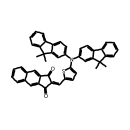 CC1(C)c2ccccc2-c2ccc(N(c3ccc4c(c3)C(C)(C)c3ccccc3-4)c3ccc(C=C4C(=O)c5cc6ccccc6cc5C4=O)s3)cc21